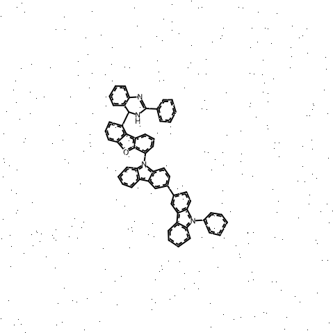 c1ccc(C2=Nc3ccccc3C(c3cccc4oc5c(-n6c7ccccc7c7cc(-c8ccc9c(c8)c8ccccc8n9-c8ccccc8)ccc76)cccc5c34)N2)cc1